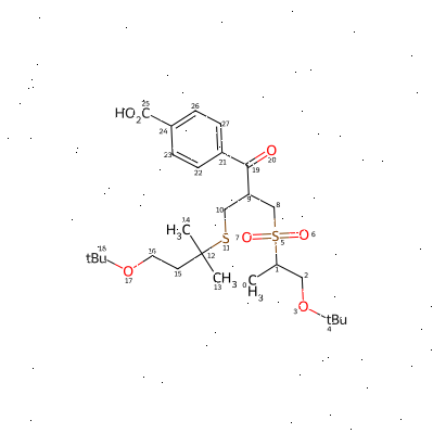 CC(COC(C)(C)C)S(=O)(=O)CC(CSC(C)(C)CCOC(C)(C)C)C(=O)c1ccc(C(=O)O)cc1